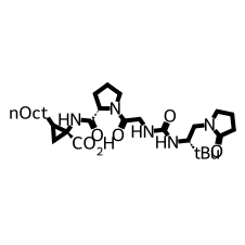 CCCCCCCCC1C[C@]1(NC(=O)[C@@H]1CCCN1C(=O)CNC(=O)N[C@H](CN1CCCC1=O)C(C)(C)C)C(=O)O